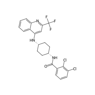 O=C(N[C@H]1CC[C@@H](Nc2cc(C(F)(F)F)nc3ccccc23)CC1)c1cccc(Cl)c1Cl